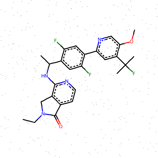 CCN1Cc2c(ccnc2NC(C)c2cc(F)c(-c3cc(C(C)(C)F)c(OC)cn3)cc2F)C1=O